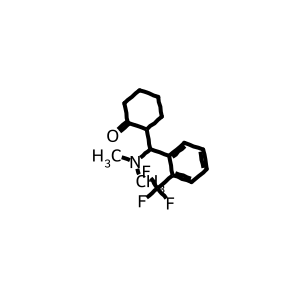 CN(C)C(c1ccccc1C(F)(F)F)C1CCCCC1=O